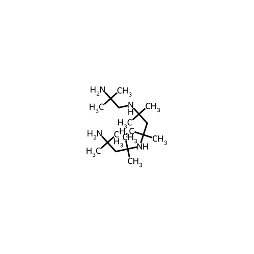 CC(C)(N)CNC(C)(C)CC(C)(C)NC(C)(C)CC(C)(C)N